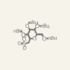 CCCCOCC1OC(CS(=O)(=O)Cl)C(OCCCC)C(OCCCC)C1OCCCC